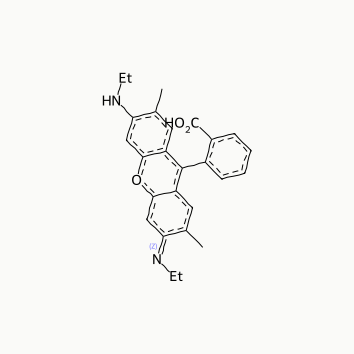 CC/N=c1/cc2oc3cc(NCC)c(C)cc3c(-c3ccccc3C(=O)O)c-2cc1C